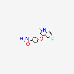 Cc1cc(Oc2ccc(C(N)=O)cc2)c2cc(F)ccc2n1